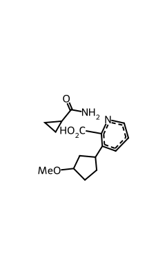 COC1CCC(c2cccnc2C(=O)O)C1.NC(=O)C1CC1